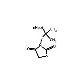 CCCCCCCC(C)(C)SN1C(=O)CSC1=O